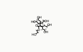 O=C(OCCO)C(=C(CCO)CCO)C(CCO)(CCO)CCO